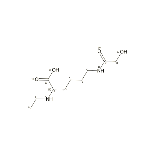 CCN[C@@H](CCCCNC(=O)CO)C(=O)O